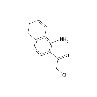 Nc1c(C(=O)CCl)ccc2c1C=CCC2